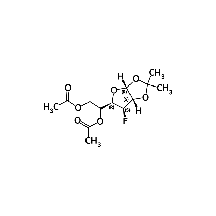 CC(=O)OCC(OC(C)=O)[C@H]1O[C@@H]2OC(C)(C)O[C@@H]2[C@H]1F